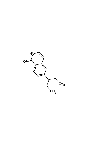 CCC(CC)c1ccc2c(=O)[nH]ccc2c1